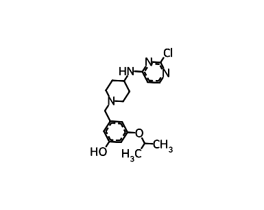 CC(C)Oc1cc(O)cc(CN2CCC(Nc3ccnc(Cl)n3)CC2)c1